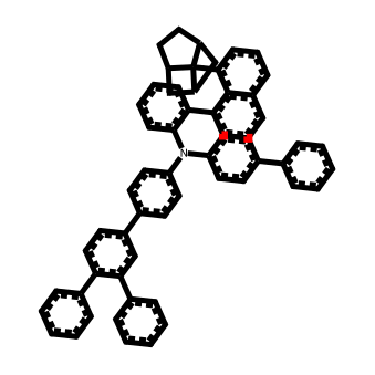 c1ccc(-c2ccc(N(c3ccc(-c4ccc(-c5ccccc5)c(-c5ccccc5)c4)cc3)c3ccccc3-c3cccc4cccc(C56C7CCC5CC6C7)c34)cc2)cc1